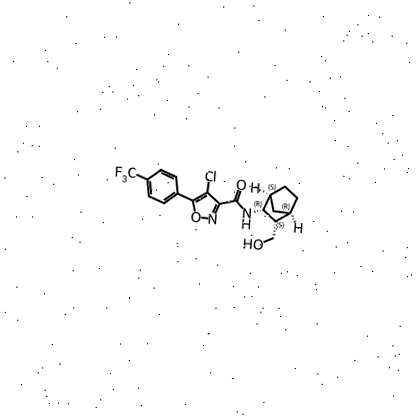 O=C(N[C@@H]1[C@H]2CC[C@H](C2)[C@@H]1CO)c1noc(-c2ccc(C(F)(F)F)cc2)c1Cl